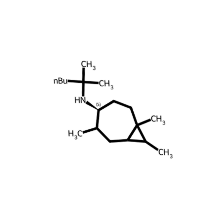 CCCCC(C)(C)N[C@H]1CCC2(C)C(C)C2CC1C